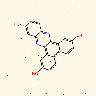 Oc1ccc2nc3c4cc(O)ccc4c4ccc(O)cc4c3nc2c1